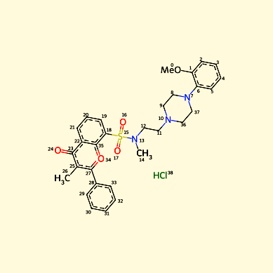 COc1ccccc1N1CCN(CCN(C)S(=O)(=O)c2cccc3c(=O)c(C)c(-c4ccccc4)oc23)CC1.Cl